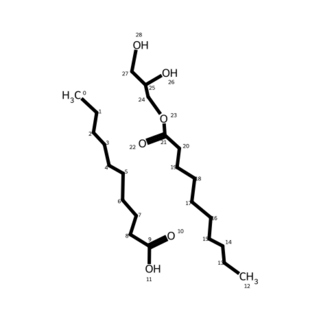 CCCCCCCCCC(=O)O.CCCCCCCCCC(=O)OCC(O)CO